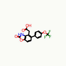 O=C(O)Cc1c(-c2ccc(OC(F)(F)F)cc2)ccc2oc(=O)[nH]c12